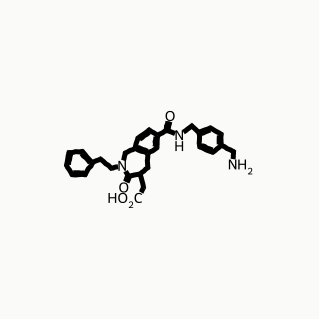 NCc1ccc(CNC(=O)c2ccc3c(c2)CC(CC(=O)O)C(=O)N(CCc2ccccc2)C3)cc1